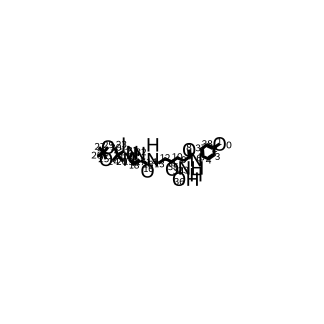 COc1ccc(NC(=O)C(CCCCNC(=O)c2cn(CC3(CI)COC(C)(C)OC3)nn2)NC(=O)O)cc1